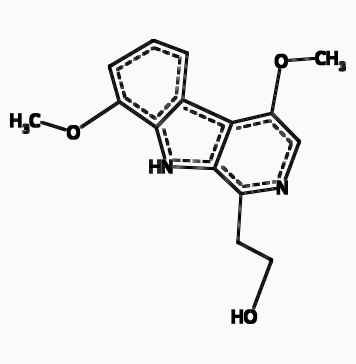 COc1cccc2c1[nH]c1c(CCO)ncc(OC)c12